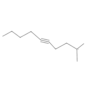 CCCCC#CCC[C](C)C